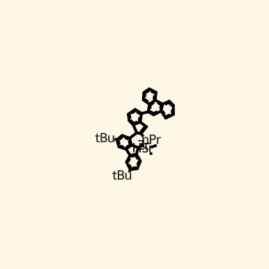 CCCC1=Cc2c(-c3cc4ccccc4c4ccccc34)cccc2C1c1cc(C(C)(C)C)cc2c1[CH]([Zr][SiH](C)C)c1ccc(C(C)(C)C)cc1-2